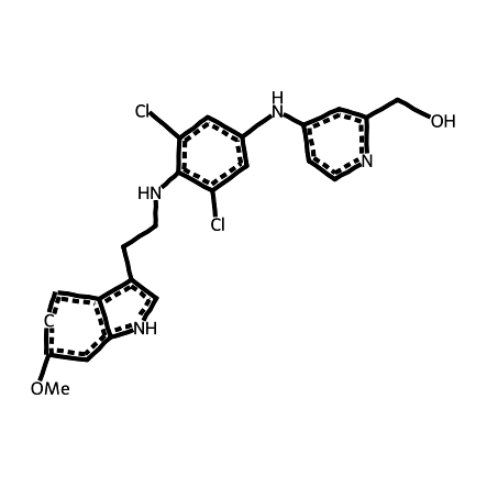 COc1ccc2c(CCNc3c(Cl)cc(Nc4ccnc(CO)c4)cc3Cl)c[nH]c2c1